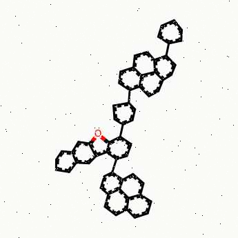 c1ccc(-c2ccc3ccc4c(-c5ccc(-c6ccc(-c7ccc8ccc9cccc%10ccc7c8c9%10)c7c6oc6cc8ccccc8cc67)cc5)ccc5ccc2c3c54)cc1